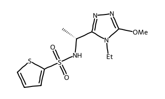 CCn1c(OC)nnc1[C@@H](C)NS(=O)(=O)c1cccs1